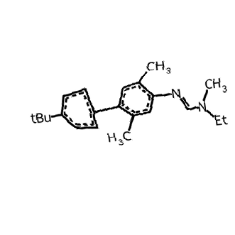 CCN(C)C=Nc1cc(C)c(-c2ccc(C(C)(C)C)cc2)cc1C